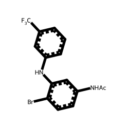 CC(=O)Nc1ccc(Br)c(Nc2cccc(C(F)(F)F)c2)c1